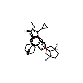 C#Cc1cc(C(=O)OC)cc2sc(N3[C@@H]4CC[C@H]3CC(OCc3c(C5CCOCC5)noc3C3CC3)C4)nc12